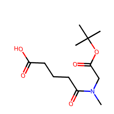 CN(CC(=O)OC(C)(C)C)C(=O)CCCC(=O)O